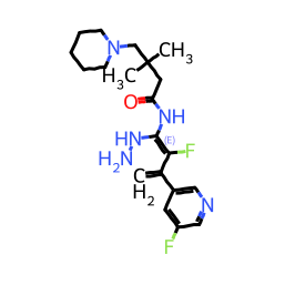 C=C(/C(F)=C(\NN)NC(=O)CC(C)(C)CN1CCCCC1)c1cncc(F)c1